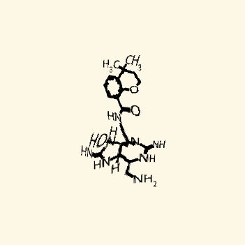 CC1(C)CCOc2c(C(=O)NC3CN4C(=N)N[C@@H](CN)[C@@H]5NC(=N)N[C@@]54[C@@H]3O)cccc21